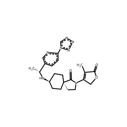 CC1=C(N2CC[C@]3(CC[C@H](N[C@H](C)c4ccc(-n5cnnn5)nc4)CC3)C2=O)COC1=O